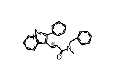 CN(Cc1ccccc1)C(=O)/C=C/c1c(-c2ccccc2)nn2ccccc12